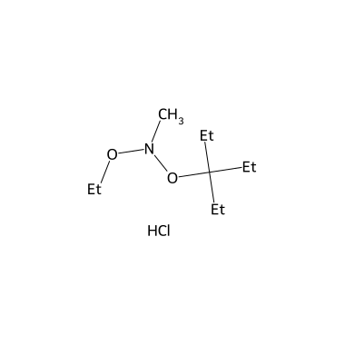 CCON(C)OC(CC)(CC)CC.Cl